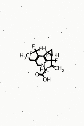 C=C(C)C1(F)C2=C(C(C(F)(F)F)=C(CC)CN2CC(=O)O)[C@H]2C[C@H]21